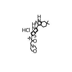 CN(C(=O)CN1CCOCC1)c1cc2[nH]c(-c3n[nH]c4c3CCC(C)(C)C4)cc2s1.Cl